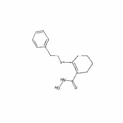 O=C(NO)C1=C(SCCc2ccccc2)CCCC1